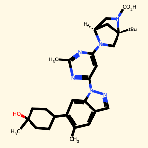 Cc1nc(N2C[C@]3(C(C)(C)C)C[C@@H]2CN3C(=O)O)cc(-n2ncc3cc(C)c(C4CCC(C)(O)CC4)cc32)n1